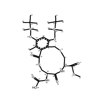 COC(=O)[C@@H]1CSCc2c(O[Si](C)(C)C(C)(C)C)cc(O[Si](C)(C)C(C)(C)C)c(C)c2C(=O)OC[C@H](NC(=O)O)C(=O)N1